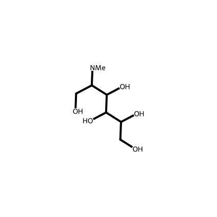 CNC(CO)C(O)C(O)C(O)CO